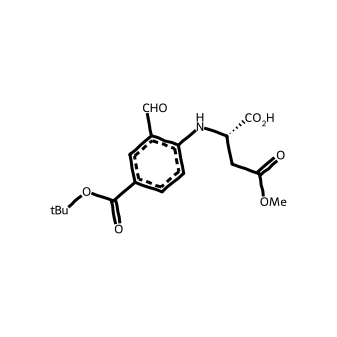 COC(=O)C[C@H](Nc1ccc(C(=O)OC(C)(C)C)cc1C=O)C(=O)O